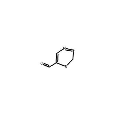 O=CC1=CN=CCS1